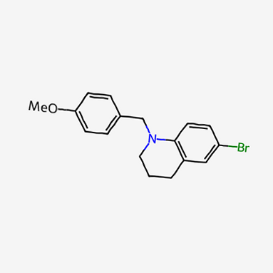 COc1ccc(CN2CCCc3cc(Br)ccc32)cc1